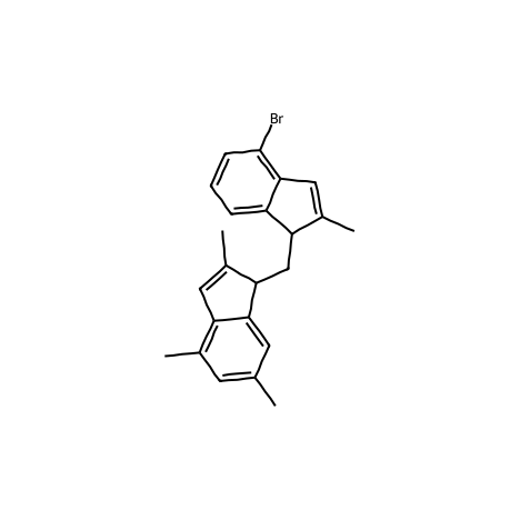 CC1=Cc2c(C)cc(C)cc2C1CC1C(C)=Cc2c(Br)cccc21